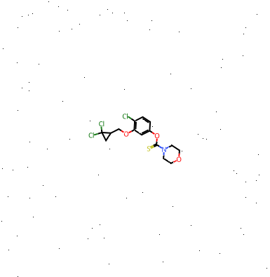 S=C(Oc1ccc(Cl)c(OCC2CC2(Cl)Cl)c1)N1CCOCC1